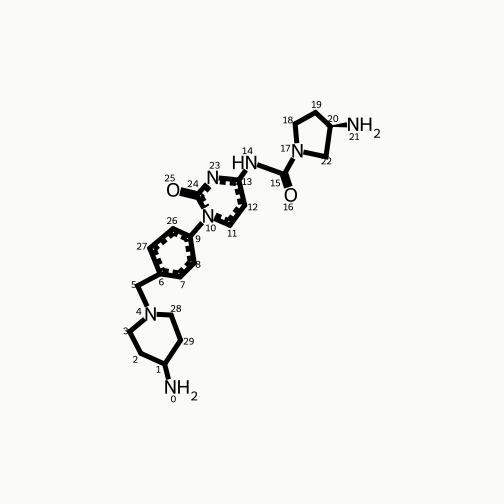 NC1CCN(Cc2ccc(-n3ccc(NC(=O)N4CC[C@@H](N)C4)nc3=O)cc2)CC1